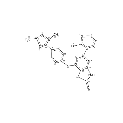 CC(C)c1ncccc1-c1nc(Cc2ccc(-c3nc(C(F)(F)F)cn3C)cc2)c2c(n1)NC(=O)C2